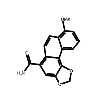 COc1cccc2c1ccc1c(C(N)=O)cc3c(c12)OCO3